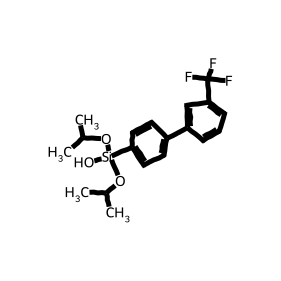 CC(C)O[Si](O)(OC(C)C)c1ccc(-c2cccc(C(F)(F)F)c2)cc1